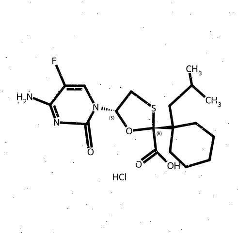 CC(C)CC1([C@@]2(C(=O)O)O[C@H](n3cc(F)c(N)nc3=O)CS2)CCCCC1.Cl